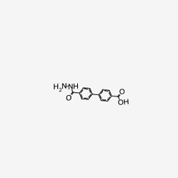 NNC(=O)c1ccc(-c2ccc(C(=O)O)cc2)cc1